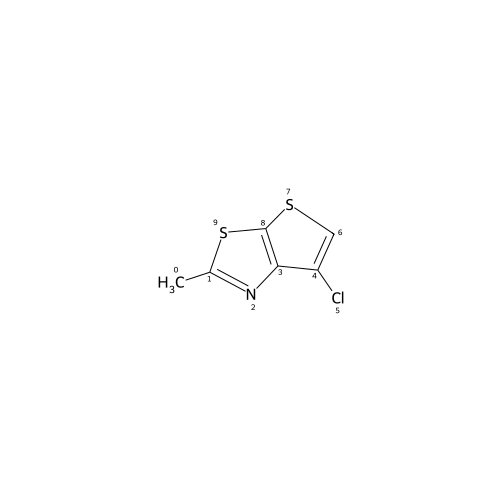 Cc1nc2c(Cl)csc2s1